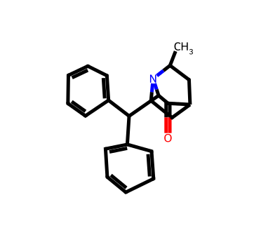 CC1CC2CCN1C(C(c1ccccc1)c1ccccc1)C2=O